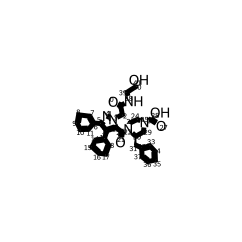 O=C(Cn1nc(-c2ccccc2)c(-c2ccccc2)c1C(=O)N1CCN(C(=O)O)C[C@H]1Cc1ccccc1)NCCO